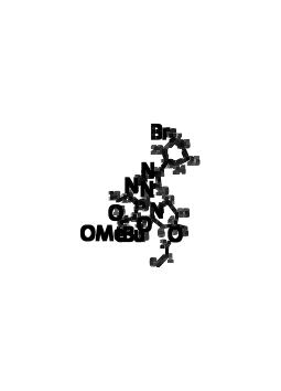 C=CCOC1(C)CCN(c2c(C(OC(C)(C)C)C(=O)OC)c(C)nc3nc(-c4cccc(Br)c4)cn23)CC1